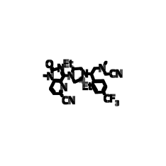 CCC1CN(C(CN(C)CC#N)c2ccc(C(F)(F)F)cc2)[C@H](CC)CN1c1nc(=O)n(C)c2ccc(C#N)nc12